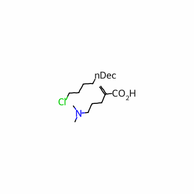 C=C(CCCN(C)C)C(=O)O.CCCCCCCCCCCCCCCl